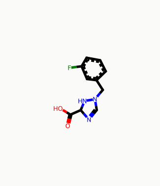 O=C(O)C1N=CN(Cc2cccc(F)c2)N1